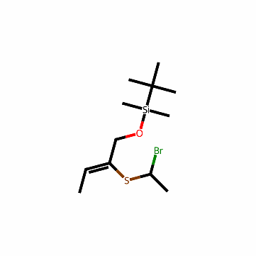 C/C=C(/CO[Si](C)(C)C(C)(C)C)SC(C)Br